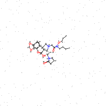 CCCCN(OCCC)C(=O)CN1CC(c2ccc3c(c2)OCO3)[C@H](C(=O)O)[C@H]1CCN1CCCC1=O